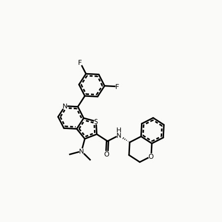 CN(C)c1c(C(=O)N[C@H]2CCOc3ccccc32)sc2c(-c3cc(F)cc(F)c3)nccc12